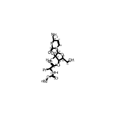 CCCCOC(=O)NC(C(=O)OC1C(CO)OC(n2ccc(N)nc2=O)C1(C)O)C(C)C